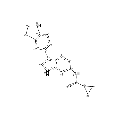 O=C(Nc1ccc2c(-c3ccc4c(c3)CCN4)c[nH]c2n1)C1CC1